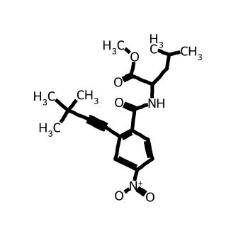 COC(=O)C(CC(C)C)NC(=O)c1ccc([N+](=O)[O-])cc1C#CC(C)(C)C